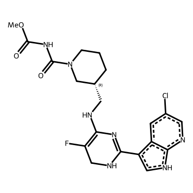 COC(=O)NC(=O)N1CCC[C@H](CNC2=C(F)CNC(c3c[nH]c4ncc(Cl)cc34)=N2)C1